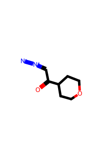 [N-]=[N+]=CC(=O)C1CCOCC1